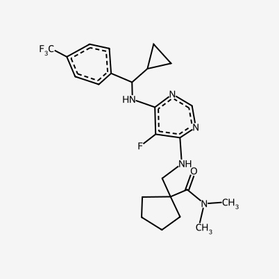 CN(C)C(=O)C1(CNc2ncnc(NC(c3ccc(C(F)(F)F)cc3)C3CC3)c2F)CCCC1